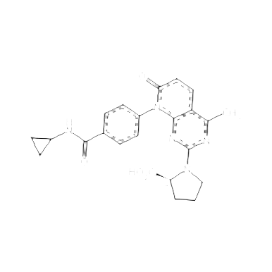 Cc1nc(N2CCC[C@H]2C(=O)O)nc2c1ccc(=O)n2-c1ccc(C(=O)NC2CC2)cc1